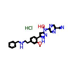 COc1cc(CCNCc2ccccc2)ccc1-c1cc(N(O)c2cnc(C#N)cn2)n[nH]1.Cl